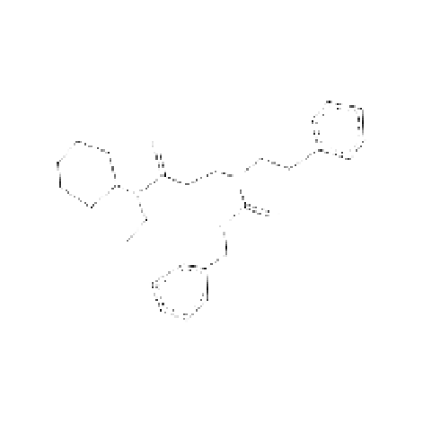 [CH2]CN(C(=O)CCN(CCc1ccccc1)C(=O)OCc1ccccc1)C1CCCCC1